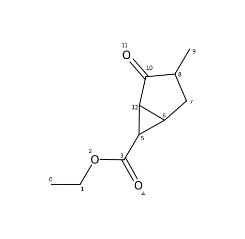 CCOC(=O)C1C2CC(C)C(=O)C21